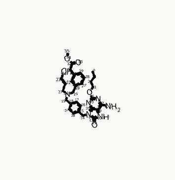 CCCCOc1nc(N)c2[nH]c(=O)n(Cc3ccc(CN(CCCO)Cc4cccc(CC(=O)OC)c4)cc3)c2n1